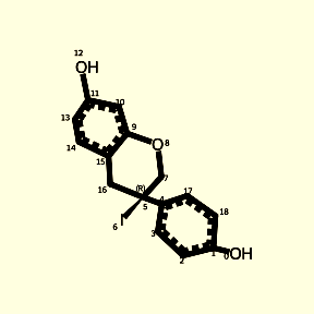 Oc1ccc([C@@]2(I)COc3cc(O)ccc3C2)cc1